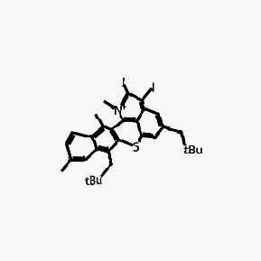 Cc1ccc2c(C)c3c(c(CC(C)(C)C)c2c1)Sc1cc(CC(C)(C)C)cc2c(I)c(I)[n+](C)c-3c12